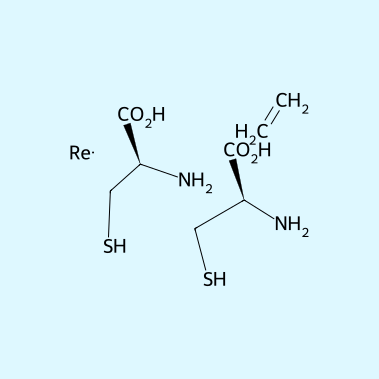 C=C.N[C@@H](CS)C(=O)O.N[C@@H](CS)C(=O)O.[Re]